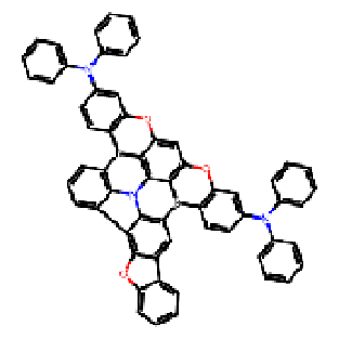 c1ccc(N(c2ccccc2)c2ccc3c(c2)Oc2cc4c5c6c2B3c2cccc3c7c8oc9ccccc9c8cc(c7n-6c23)B5c2ccc(N(c3ccccc3)c3ccccc3)cc2O4)cc1